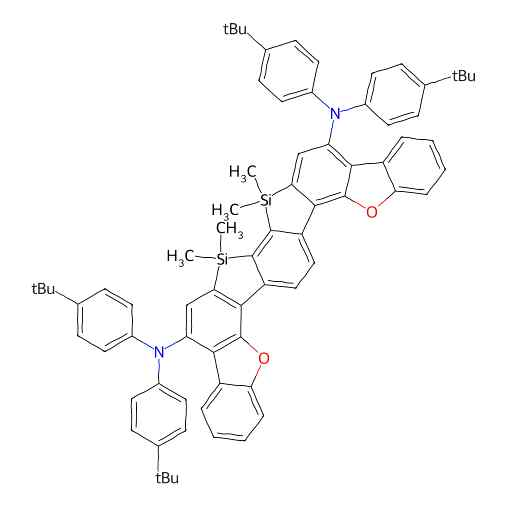 CC(C)(C)c1ccc(N(c2ccc(C(C)(C)C)cc2)c2cc3c(c4oc5ccccc5c24)-c2ccc4c(c2[Si]3(C)C)[Si](C)(C)c2cc(N(c3ccc(C(C)(C)C)cc3)c3ccc(C(C)(C)C)cc3)c3c(oc5ccccc53)c2-4)cc1